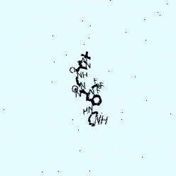 CC(C)(C)n1cc(C(=O)NCc2nc(-c3cc4c(N[C@@H]5CCCNC5)cccc4n3CC(F)(F)F)no2)cn1